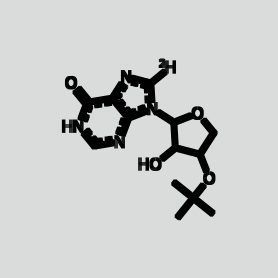 [2H]c1nc2c(=O)[nH]cnc2n1C1OCC(OC(C)(C)C)C1O